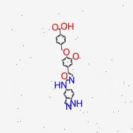 COc1cc(-c2cnc(Nc3ccc4[nH]ncc4c3)o2)ccc1OCc1ccc(C(=O)O)cc1